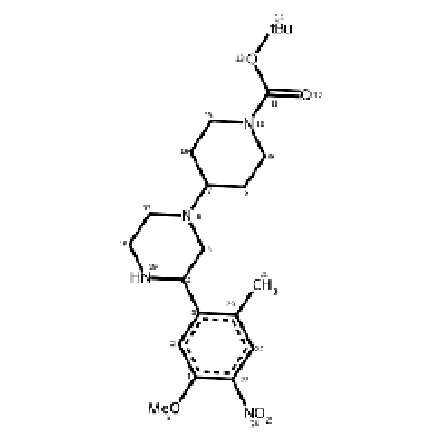 COc1cc(C2CN(C3CCN(C(=O)OC(C)(C)C)CC3)CCN2)c(C)cc1[N+](=O)[O-]